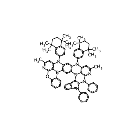 Cc1cc2c3c(n1)Oc1ccccc1B3c1cc3c(cc1N2c1ccc2c(c1)C(C)(C)CCC2(C)C)N(c1ccc2c(c1)C(C)(C)CCC2(C)C)c1cc(C)nc2c1B3c1c(n(-c3ccccc3)c3ccccc13)N2c1ccccc1